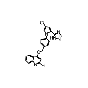 CCc1cc(OCc2ccc(-n3cc(Cl)cc3-c3nnn[nH]3)cc2)c2ccccc2n1